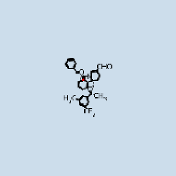 Cc1cc([C@@H](C)OC[C@@]2(c3ccccc3)CCC(C=O)CN2C(=O)OCc2ccccc2)cc(C(F)(F)F)c1